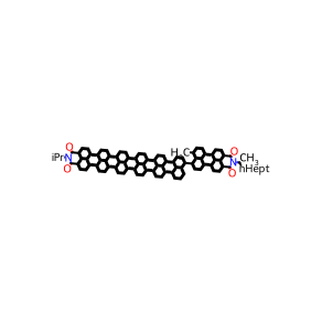 CCCCCCCC(C)N1C(=O)c2ccc3c4ccc(C)c5c(-c6ccc7c8ccc9c%10ccc%11c%12ccc%13c%14ccc%15c%16ccc%17c%18c(ccc(c%19ccc(c%20ccc(c%21ccc(c%22ccc(c%23cccc6c%237)c8c%229)c%10c%21%11)c%12c%20%13)c%14c%19%15)c%18%16)C(=O)N(C(C)C)C%17=O)ccc(c6ccc(c2c36)C1=O)c54